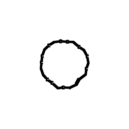 [CH]1C=CCCCCCCCCCCCCCCCCCCCC1